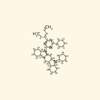 C=C/C=C(\C=C)c1nc(-c2ccccc2)nc(-n2c3ccccc3c3cc4c5ccccc5n(-c5ccccc5)c4cc32)n1